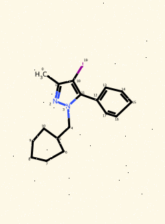 Cc1nn(CC2CC[CH]CC2)c(-c2ccccc2)c1I